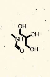 CNC=O.OCC(O)CO